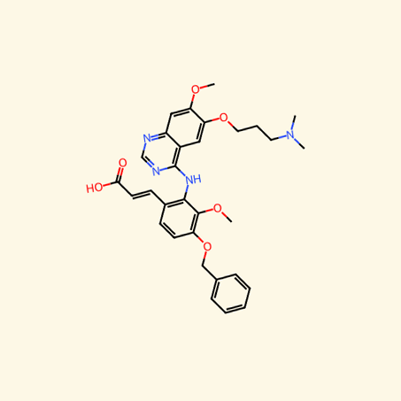 COc1cc2ncnc(Nc3c(C=CC(=O)O)ccc(OCc4ccccc4)c3OC)c2cc1OCCCN(C)C